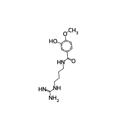 COc1ccc(C(=O)NCCCCNC(=N)N)cc1O